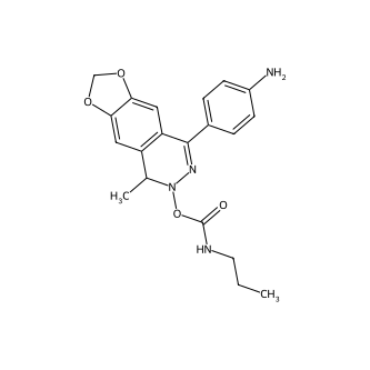 CCCNC(=O)ON1N=C(c2ccc(N)cc2)c2cc3c(cc2C1C)OCO3